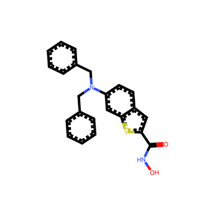 O=C(NO)c1cc2ccc(N(Cc3ccccc3)Cc3ccccc3)cc2s1